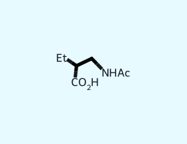 CCC(CNC(C)=O)C(=O)O